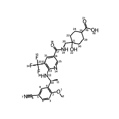 COc1ccc(C#N)cc1[C@H](C)Nc1ncc(C(=O)NCC2(O)CCC(C(=O)O)CC2)cc1C(F)(F)F